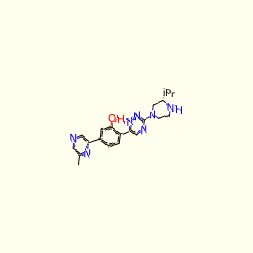 Cc1cncc(-c2ccc(-c3cnc(N4CCN[C@@H](C(C)C)C4)nn3)c(O)c2)n1